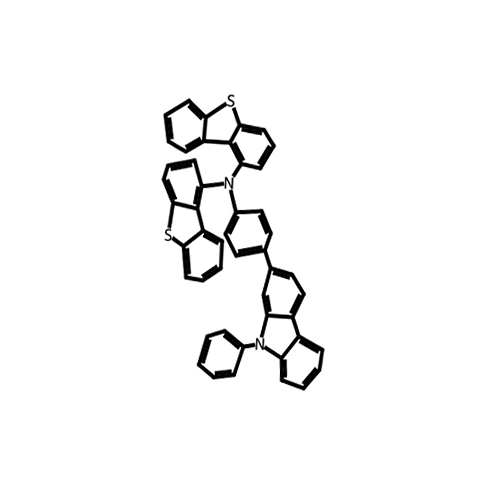 c1ccc(-n2c3ccccc3c3ccc(-c4ccc(N(c5cccc6sc7ccccc7c56)c5cccc6sc7ccccc7c56)cc4)cc32)cc1